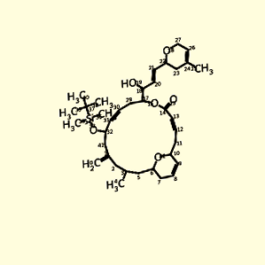 C=C1CC(C)CC2CC=CC(C/C=C\C(=O)OC(C(O)/C=C/C3CC(C)=CCO3)C/C=C\C(O[Si](C)(C)C(C)(C)C)C1)O2